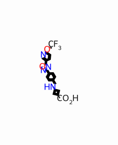 O=C(O)[C@H]1C[C@@H](NCc2ccc(-c3noc(-c4ccc(OCC(F)(F)F)nc4)n3)cc2)C1